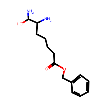 NC(O)C(N)CCCCC(=O)OCc1ccccc1